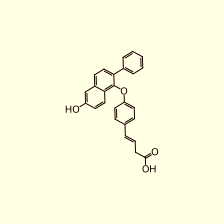 O=C(O)C/C=C/c1ccc(Oc2c(-c3ccccc3)ccc3cc(O)ccc23)cc1